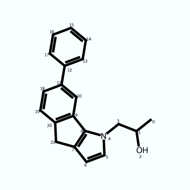 CC(O)Cn1ccc2c1-c1cc(-c3ccccc3)ccc1C2